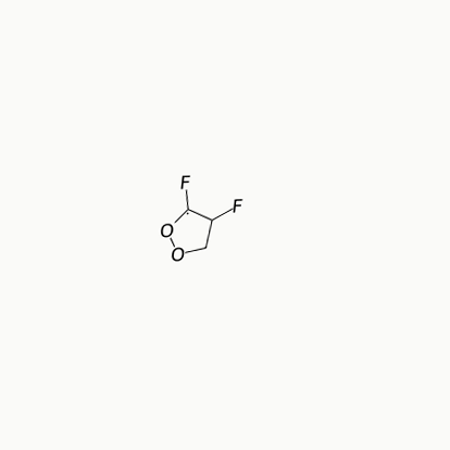 F[C]1OOCC1F